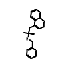 CC(C)(Cc1cccc2ccccc12)NCc1ccccc1